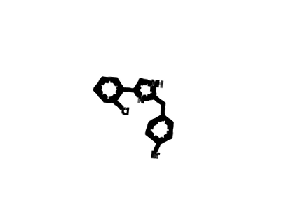 Clc1ccccc1-c1c[nH]c(Cc2ccc(Br)cc2)n1